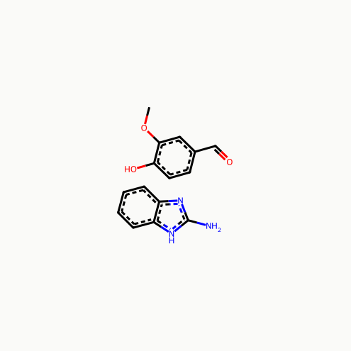 COc1cc(C=O)ccc1O.Nc1nc2ccccc2[nH]1